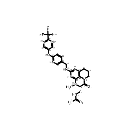 CC(=O)NC[C@H]1C(=O)N2CCCc3nc(NCc4ccc(Oc5cnc(C(F)(F)F)nc5)nc4)nc(c32)N1C